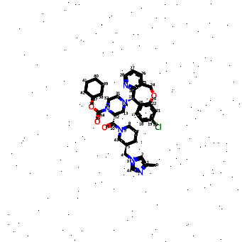 Cc1cn(C[C@@H]2CCCN(C(=O)[C@H]3CN([C@H]4c5ccc(Cl)cc5OCc5cccnc54)CCN3C(=O)OC3CCCCC3)C2)cn1